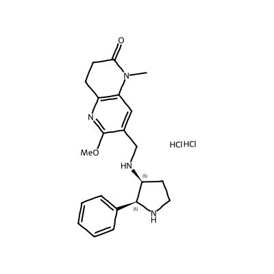 COc1nc2c(cc1CN[C@H]1CCN[C@H]1c1ccccc1)N(C)C(=O)CC2.Cl.Cl